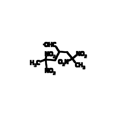 CC(CC([C]=O)CC(C)([N+](=O)[O-])[N+](=O)[O-])([N+](=O)[O-])[N+](=O)[O-]